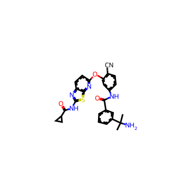 CC(C)(N)c1cccc(C(=O)Nc2ccc(C#N)c(Oc3ccc4nc(NC(=O)C5CC5)sc4n3)c2)c1